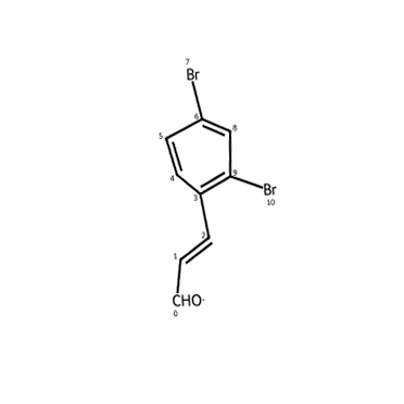 O=[C]C=Cc1ccc(Br)cc1Br